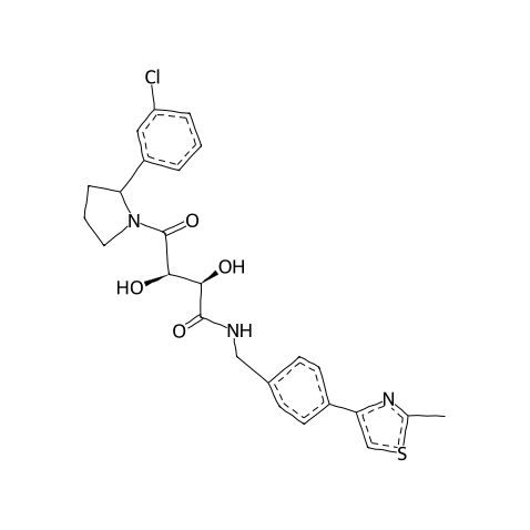 Cc1nc(-c2ccc(CNC(=O)[C@H](O)[C@@H](O)C(=O)N3CCCC3c3cccc(Cl)c3)cc2)cs1